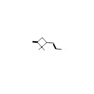 CC1(C)C(=O)CC1C=CCl